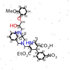 CCOC(=O)C1=C(CN(Cc2ccccc2)CC(C)(C)NCC(O)COc2ccccc2OC)NC(C)=C(C(=O)O)C1c1cccc([N+](=O)[O-])c1